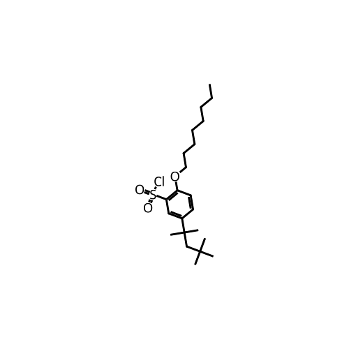 CCCCCCCCOc1ccc(C(C)(C)CC(C)(C)C)cc1S(=O)(=O)Cl